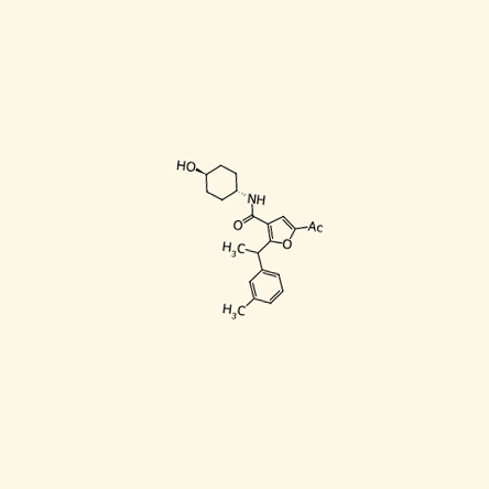 CC(=O)c1cc(C(=O)N[C@H]2CC[C@H](O)CC2)c(C(C)c2cccc(C)c2)o1